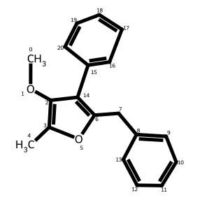 COc1c(C)oc(Cc2ccccc2)c1-c1ccccc1